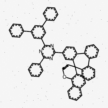 c1ccc(-c2cc(-c3ccccc3)cc(-c3nc(-c4ccccc4)nc(-c4ccc5c(c4)C4(c6ccccc6Oc6c4ccc4ccccc64)c4ccccc4-c4ccccc4-5)n3)c2)cc1